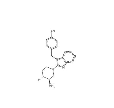 N#Cc1ccc(Cn2c(N3CC[C@@H](F)[C@H](N)C3)nc3cnccc32)cc1